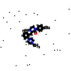 CCCN1CCN(c2ccc(C(C)(C)C)cc2)C(=O)C1Cc1ccccc1N1CCN(C)CC1